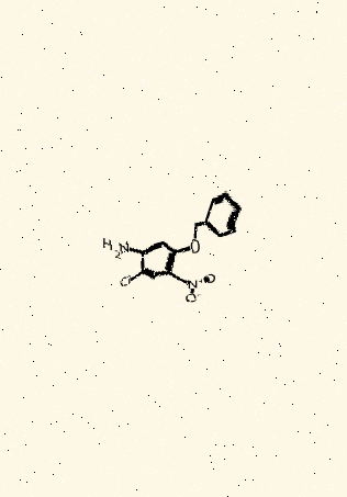 Nc1cc(OCc2ccccc2)c([N+](=O)[O-])cc1Cl